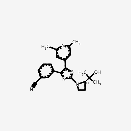 Cc1cc(-c2sc(N3CC[C@@H]3C(C)(C)O)nc2-c2cccc(C#N)c2)cc(C)n1